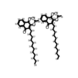 CCCCCCCCCCCCC1=C(OC(C)=O)C(=O)c2ccccc2C1=O.CCCCCCCCCCCCC1=C(OC(C)=O)C(=O)c2ccccc2C1=O